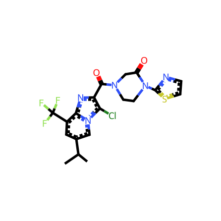 CC(C)c1cc(C(F)(F)F)c2nc(C(=O)N3CCN(c4nccs4)C(=O)C3)c(Cl)n2c1